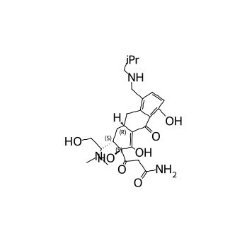 CC(C)CNCc1ccc(O)c2c1C[C@H]1C[C@@H](C(CO)N(C)C)[C@@](O)(C(=O)CC(N)=O)C(O)=C1C2=O